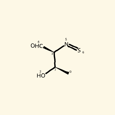 C[C@@H](O)[C@@H](C=O)N=S